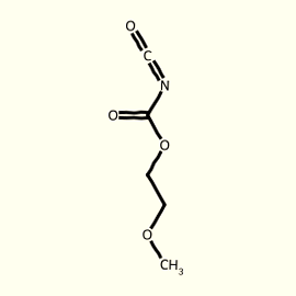 COCCOC(=O)N=C=O